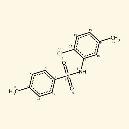 Cc1ccc(S(=O)(=O)Nc2cc(C)ccc2Cl)cc1